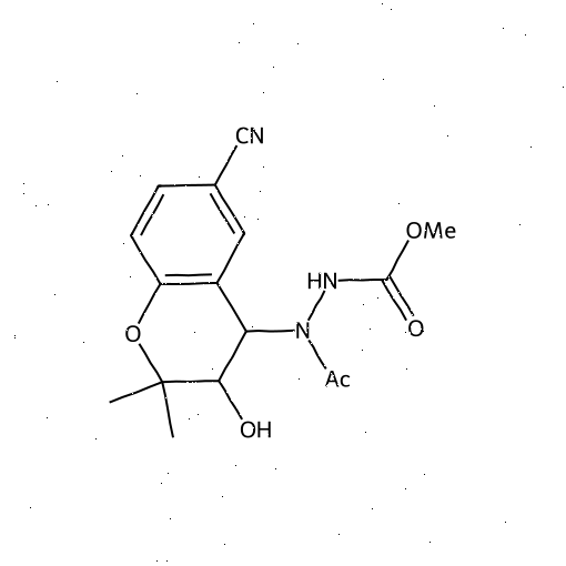 COC(=O)NN(C(C)=O)C1c2cc(C#N)ccc2OC(C)(C)C1O